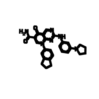 NC(=O)c1cn(-c2ccc3c(c2)CCC3)c2nc(Nc3cccc(N4CCCC4)c3)ncc2c1=O